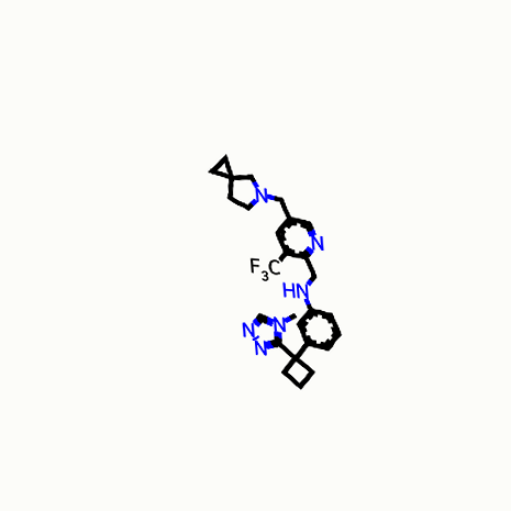 Cn1cnnc1C1(c2cccc(NCc3ncc(CN4CCC5(CC5)C4)cc3C(F)(F)F)c2)CCC1